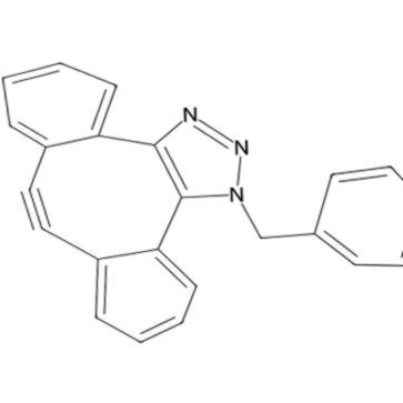 C1#Cc2ccccc2-c2c(nnn2Cc2ccccc2)-c2ccccc21